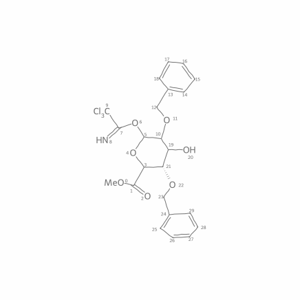 COC(=O)C1OC(OC(=N)C(Cl)(Cl)Cl)C(OCc2ccccc2)C(O)[C@@H]1OCc1ccccc1